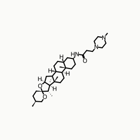 C[C@H]1CC[C@@]2(OC1)O[C@H]1C[C@@]3(C)[C@@H]4CC[C@@H]5C[C@@H](NC(=O)CCN6CCN(C)CC6)CC[C@]5(C)[C@H]4CC[C@]3(C)[C@H]1[C@@H]2C